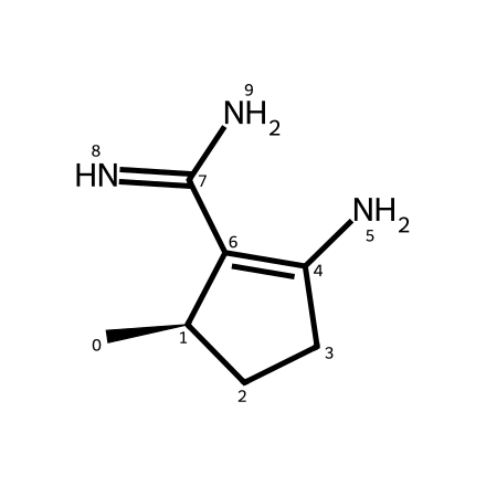 C[C@@H]1CCC(N)=C1C(=N)N